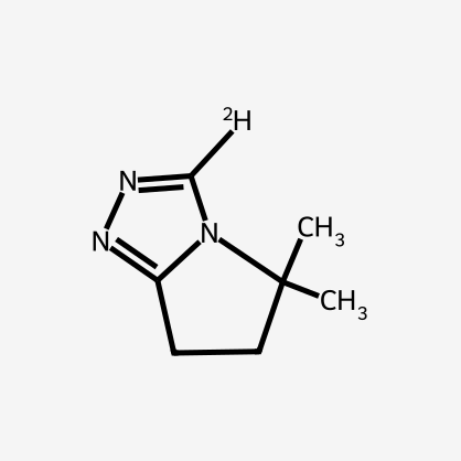 [2H]c1nnc2n1C(C)(C)CC2